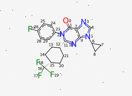 O=c1c2ncn(C3CC3)c2nc([C@H]2CC[C@@H](C(F)(F)F)CC2)n1-c1ccc(F)cc1